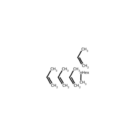 C=CC.C=CC.C=CC.C=CC.CCCCCCC